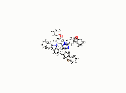 c1ccc2cc3c(cc2c1)c1ccc2cc1n3-c1cc3c(cc1-c1nc(-c4ccc5oc6ccccc6c5c4)nc(-c4ccc5sc6ccccc6c5c4)c1C2)oc1ccccc13